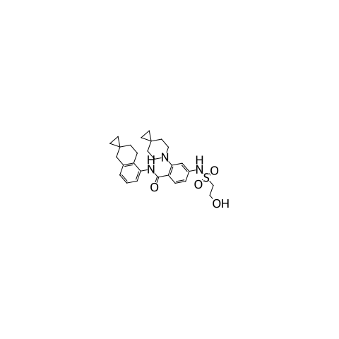 O=C(Nc1cccc2c1CCC1(CC1)C2)c1ccc(NS(=O)(=O)CCO)cc1N1CCC2(CC1)CC2